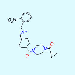 O=C(C1CC1)N1CCN(C(=O)[C@H]2CC[C@H](CNCc3ccccc3[N+](=O)[O-])CC2)CC1